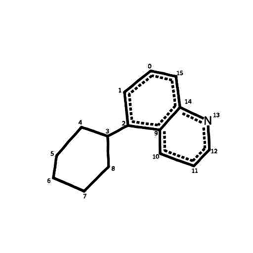 c1cc(C2CCCCC2)c2cccnc2c1